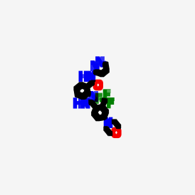 O=C(Nc1cccnn1)c1cccc2[nH]c(-c3ccc(N4CCOCC4)cc3C(F)(F)F)nc12